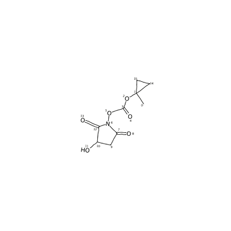 CC1(OC(=O)ON2C(=O)CC(O)C2=O)CC1